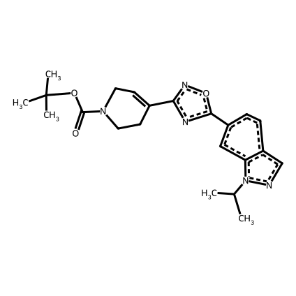 CC(C)n1ncc2ccc(-c3nc(C4=CCN(C(=O)OC(C)(C)C)CC4)no3)cc21